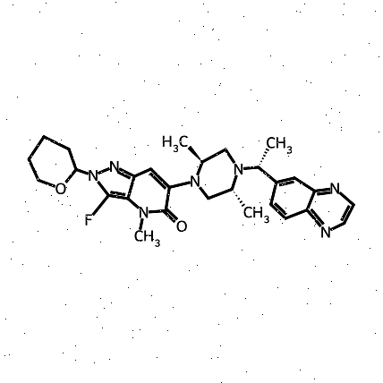 C[C@@H]1CN(c2cc3nn(C4CCCCO4)c(F)c3n(C)c2=O)[C@@H](C)CN1[C@H](C)c1ccc2nccnc2c1